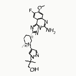 COc1cc2nc(N)n3nc([C@H]4CC[C@@H](C)N(c5cnn(C(C)(C)CO)c5)C4)nc3c2cc1F